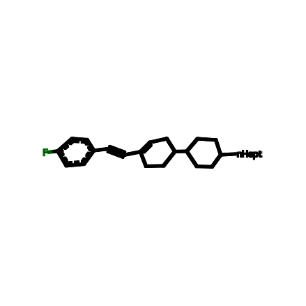 CCCCCCCC1CCC(C2CC=C(C#Cc3ccc(F)cc3)CC2)CC1